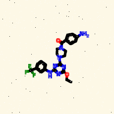 CCOc1nc(Nc2cccc(C(F)(F)F)c2)nc(N2CCN(C(=O)c3ccc(N)cc3)CC2)n1